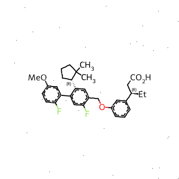 CC[C@H](CC(=O)O)c1cccc(OCc2cc([C@@H]3CCCC3(C)C)c(-c3cc(OC)ccc3F)cc2F)c1